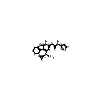 CN(C1=C2C3=C(CCCC3)SC2NC(CC(=O)Nc2ccon2)=N1)C1CC1